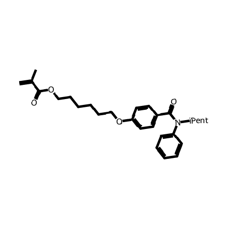 C=C(C)C(=O)OCCCCCCOc1ccc(C(=O)N(c2ccccc2)C(C)CCC)cc1